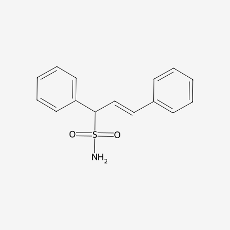 NS(=O)(=O)C(C=Cc1ccccc1)c1ccccc1